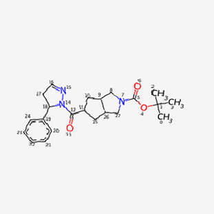 CC(C)(C)OC(=O)N1CC2CC(C(=O)N3N=CCC3c3ccccc3)CC2C1